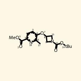 COC(=O)c1ccc(OC2CN(C(=O)OC(C)(C)C)C2)c(C)n1